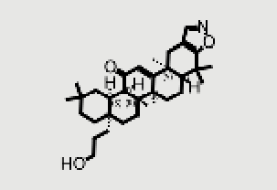 CC1(C)CC[C@]2(CCCO)CC[C@]3(C)[C@H](C(=O)C=C4[C@@]5(C)Cc6cnoc6C(C)(C)[C@@H]5CC[C@]43C)[C@@H]2C1